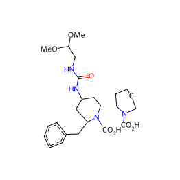 COC(CNC(=O)NC1CCN(C(=O)O)C(Cc2ccccc2)C1)OC.O=C(O)N1CCCCC1